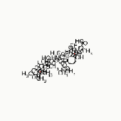 CCN[C@H]1CO[C@@H](O[C@H]2[C@H](O[C@H]3C#CC=CC#C[C@]4(O)CC(=O)C(NC(=O)OC)=C3C4=CCSSC(C)(C)CCC(=O)O)O[C@H](C)[C@@H](NO[C@H]3C[C@H](O)[C@H](SC(=O)c4c(C)c(I)c(O[C@@H]5O[C@@H](C)[C@H](O)[C@@H](OC)[C@H]5O)c(OC)c4OC)[C@@H](C)O3)[C@@H]2O)C[C@@H]1OC